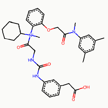 Cc1cc(C)cc(N(C)C(=O)COc2ccccc2[N+](C)(C(=O)CNC(=O)Nc2cccc(CC(=O)O)c2)C2CCCCC2)c1